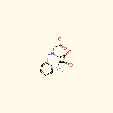 Nc1c(N(CC(=O)O)Cc2ccccc2)c(=O)c1=O